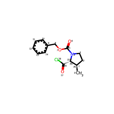 C[C@@H]1CCN(C(=O)OCc2ccccc2)[C@H]1C(=O)Cl